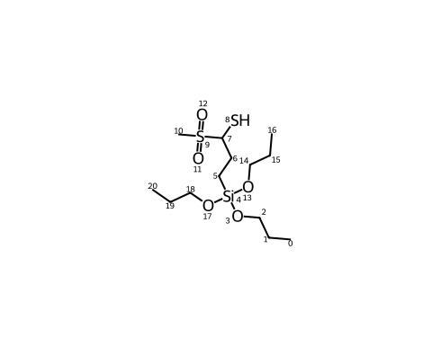 CCCO[Si](CCC(S)S(C)(=O)=O)(OCCC)OCCC